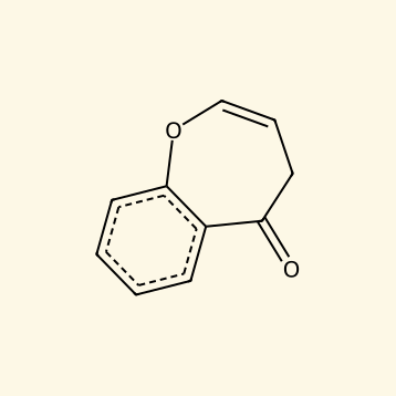 O=C1CC=COc2ccccc21